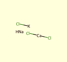 [Cl][Ca][Cl].[Cl][K].[NaH]